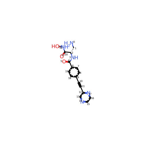 NC[C@H](NC(=O)c1ccc(C#Cc2cnccn2)cc1)C(=O)NO